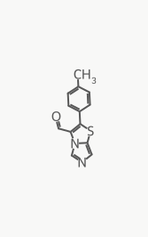 Cc1ccc(-c2sc3cncn3c2C=O)cc1